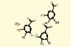 O.O=C([O-])c1cc(O)c(O)c(O)c1.O=C([O-])c1cc(O)c(O)c(O)c1.O=C([O-])c1cc(O)c(O)c(O)c1.[Bi+3]